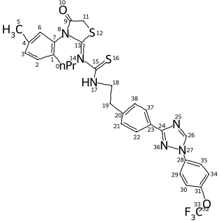 CCCc1ccc(C)cc1N1C(=O)CS/C1=N\C(=S)NCCc1ccc(-c2ncn(-c3ccc(OC(F)(F)F)cc3)n2)cc1